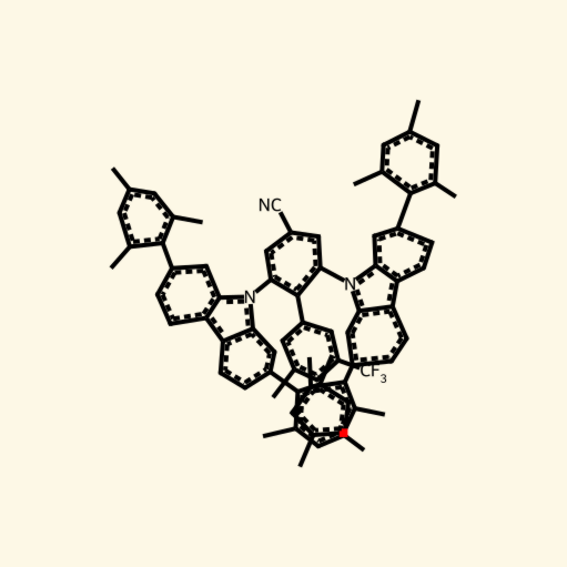 Cc1cc(-c2c(-n3c4cc(-c5c(C)cc(C)cc5C)ccc4c4ccc(-c5c(C)cc(C)cc5C)cc43)cc(C#N)cc2-n2c3cc(-c4c(C)cc(C)cc4C)ccc3c3ccc(-c4c(C)cc(C)cc4C)cc32)cc(C(F)(F)F)c1